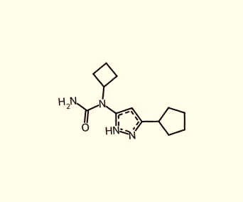 NC(=O)N(c1cc(C2CCCC2)n[nH]1)C1CCC1